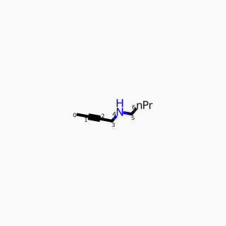 CC#CCNCCCC